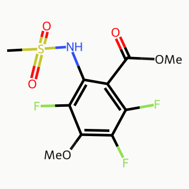 COC(=O)c1c(F)c(F)c(OC)c(F)c1NS(C)(=O)=O